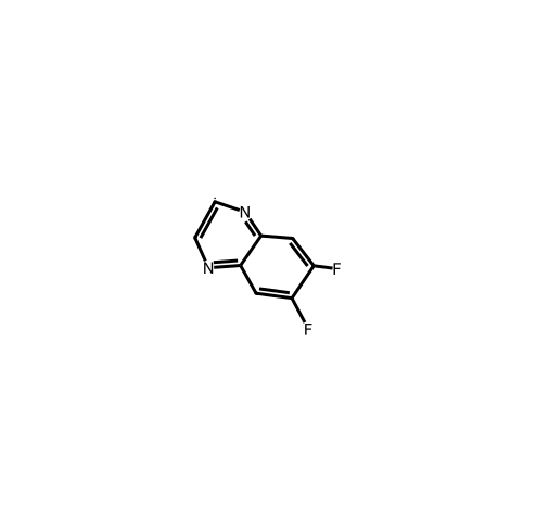 Fc1cc2n[c]cnc2cc1F